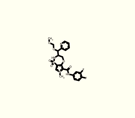 COCOC(c1ccccn1)C1COc2c(cn(C)c2C(=O)Nc2ccc(F)c(F)c2)S(=O)(=O)N1